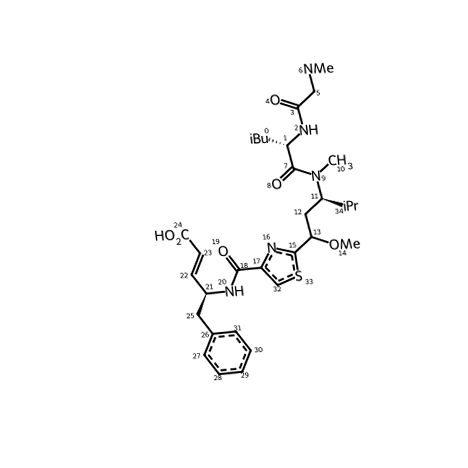 CCC(C)[C@H](NC(=O)CNC)C(=O)N(C)[C@H](CC(OC)c1nc(C(=O)N[C@H](/C=C/C(=O)O)Cc2ccccc2)cs1)C(C)C